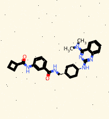 CN(C)c1nc(N[C@H]2CC[C@@H](CNC(=O)c3cccc(NC(=O)C4CCC4)c3)CC2)nc2ccccc12